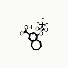 O=C(O)c1cc2c(c(OS(=O)(=O)C(F)(F)F)c1)C=CCCC2